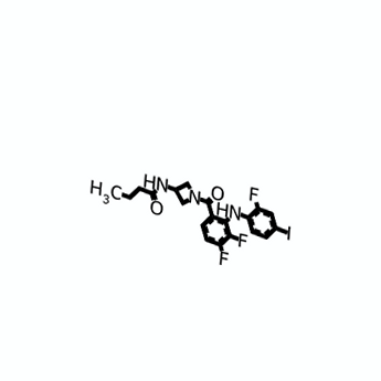 CCCC(=O)NC1CN(C(=O)c2ccc(F)c(F)c2Nc2ccc(I)cc2F)C1